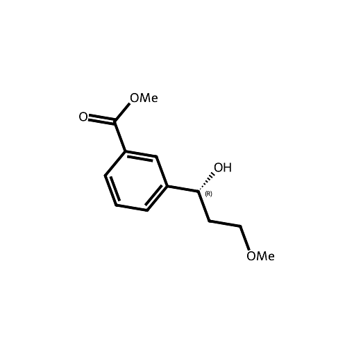 COCC[C@@H](O)c1cccc(C(=O)OC)c1